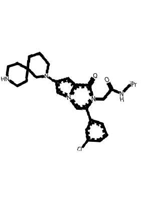 CC(C)NC(=O)Cn1c(-c2cccc(Cl)c2)cn2cc(N3CCCC4(CCNCC4)C3)cc2c1=O